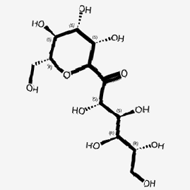 O=C(C1O[C@H](CO)[C@@H](O)[C@H](O)[C@@H]1O)[C@@H](O)[C@@H](O)[C@H](O)[C@H](O)CO